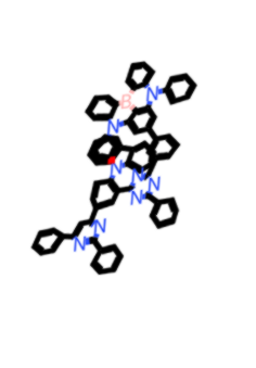 c1ccc(-c2cc(-c3ccc(-n4c5ccccc5c5ccccc54)c(-c4nc(-c5ccccc5)nc(-c5cccc(-c6cc7c8c(c6)N(c6ccccc6)c6ccccc6B8c6ccccc6N7c6ccccc6)c5)n4)c3)nc(-c3ccccc3)n2)cc1